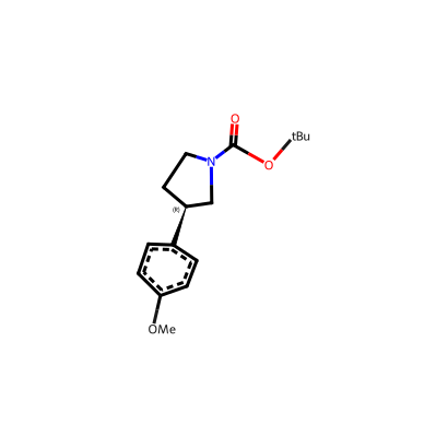 COc1ccc([C@H]2CCN(C(=O)OC(C)(C)C)C2)cc1